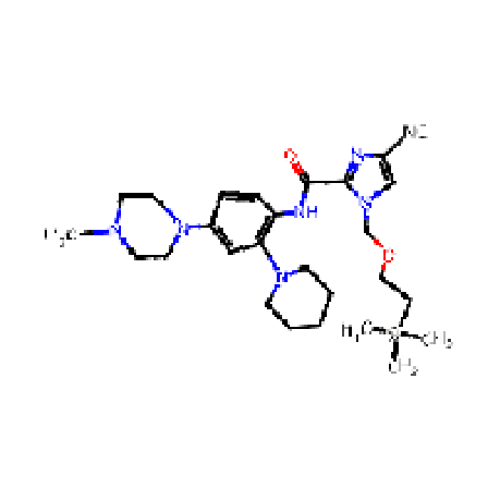 [C-]#[N+]c1cn(COCC[Si](C)(C)C)c(C(=O)Nc2ccc(N3CCN(C)CC3)cc2N2CCCCC2)n1